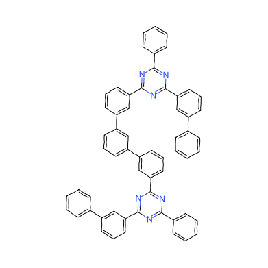 c1ccc(-c2cccc(-c3nc(-c4ccccc4)nc(-c4cccc(-c5cccc(-c6cccc(-c7nc(-c8ccccc8)nc(-c8cccc(-c9ccccc9)c8)n7)c6)c5)c4)n3)c2)cc1